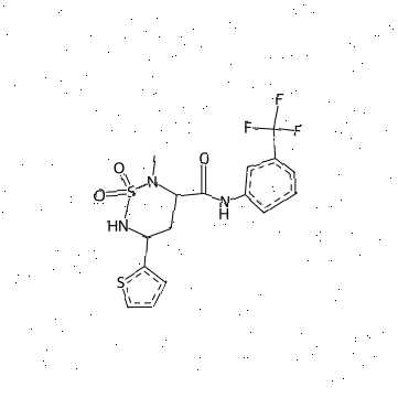 CN1C(C(=O)Nc2cccc(C(F)(F)F)c2)CC(c2cccs2)NS1(=O)=O